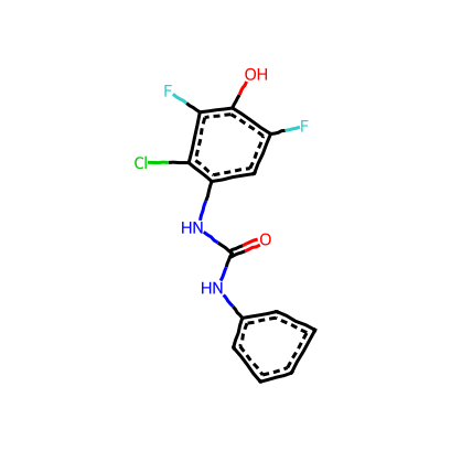 O=C(Nc1ccccc1)Nc1cc(F)c(O)c(F)c1Cl